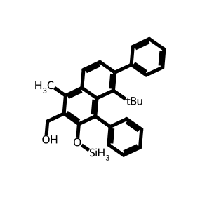 Cc1c(CO)c(O[SiH3])c(-c2ccccc2)c2c(C(C)(C)C)c(-c3ccccc3)ccc12